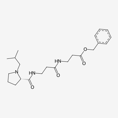 CC(C)CN1CCC[C@H]1C(=O)NCCC(=O)NCCC(=O)OCc1ccccc1